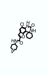 CN1CCC(NC(=O)c2cc3cc(Cl)c4c(c3o2)C2(CCCCC2)NC(=O)N4)CC1